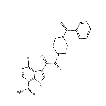 NC(=O)c1ccc(F)c2c(C(=O)C(=O)N3CCN(C(=O)c4ccccc4)CC3)c[nH]c12